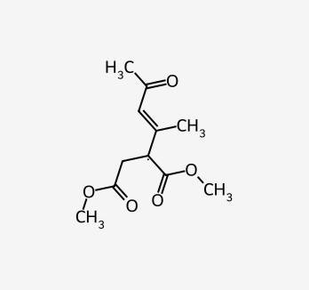 COC(=O)C[C](C(=O)OC)C(C)=CC(C)=O